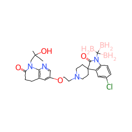 BC(B)(B)N1C(=O)C2(CCN(CCOc3cnc4c(c3)CCC(=O)N4CC(C)(C)O)CC2)c2cc(Cl)ccc21